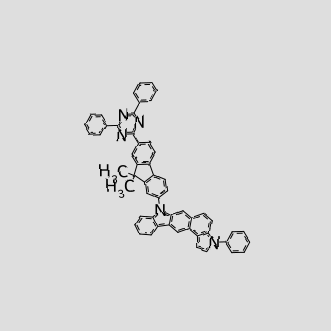 CC1(C)c2cc(-c3nc(-c4ccccc4)nc(-c4ccccc4)n3)ccc2-c2ccc(-n3c4ccccc4c4cc5c(ccc6c5ccn6-c5ccccc5)cc43)cc21